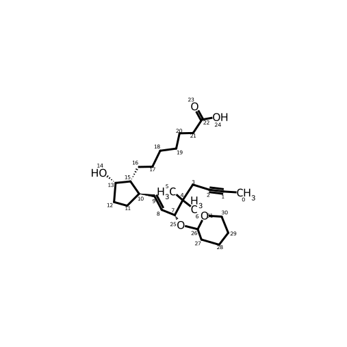 CC#CCC(C)(C)[C@@H](C=C[C@H]1CC[C@H](O)[C@@H]1CCCCCCC(=O)O)OC1CCCCO1